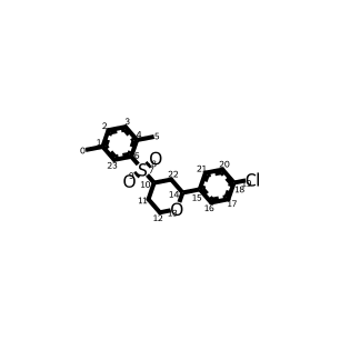 Cc1ccc(C)c(S(=O)(=O)C2CCOC(c3ccc(Cl)cc3)C2)c1